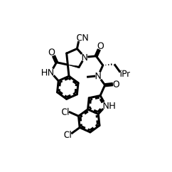 CC(C)C[C@@H](C(=O)N1C[C@]2(CC1C#N)C(=O)Nc1ccccc12)N(C)C(=O)c1cc2c(Cl)c(Cl)ccc2[nH]1